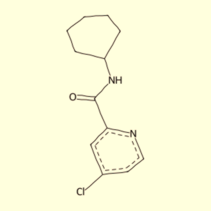 O=C(NC1CCCCC1)c1cc(Cl)ccn1